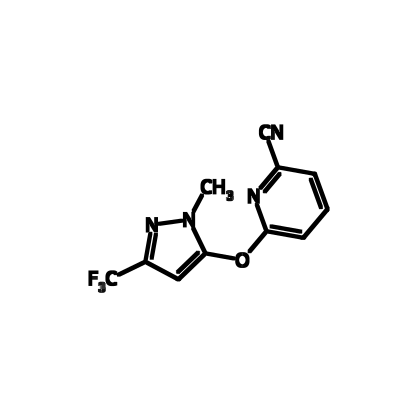 Cn1nc(C(F)(F)F)cc1Oc1cccc(C#N)n1